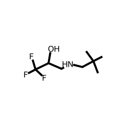 CC(C)(C)CNCC(O)C(F)(F)F